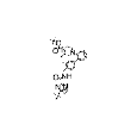 Cc1cc(-c2ccncc2N2CCN(C(=O)OC(C)(C)C)C(C)C2)ccc1CNC(=O)c1noc(C(C)(C)C)n1